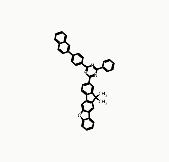 CC1(C)c2cc(-c3nc(-c4ccccc4)nc(-c4ccc(-c5ccc6ccccc6c5)cc4)n3)ccc2-c2cc3oc4ccccc4c3cc21